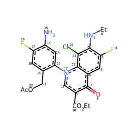 CCNc1c(F)cc2c(=O)c(C(=O)OCC)cn(-c3cc(N)c(F)cc3COC(C)=O)c2c1Cl